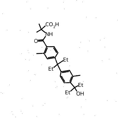 CCC(O)(CC)c1ccc(C(CC)(CC)c2ccc(C(=O)NC(C)(C)C(=O)O)c(C)c2)cc1C